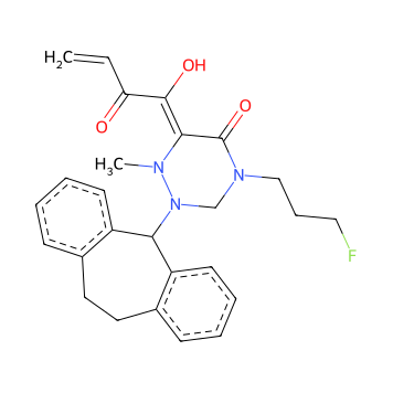 C=CC(=O)/C(O)=C1/C(=O)N(CCCF)CN(C2c3ccccc3CCc3ccccc32)N1C